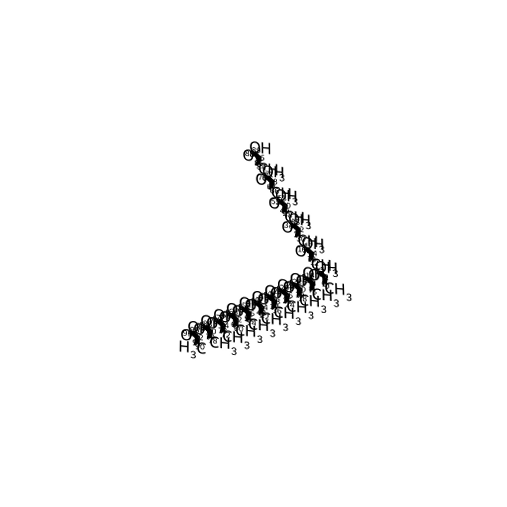 CCCC(=O)O.CCCC(=O)O.CCCC(=O)O.CCCC(=O)O.CCCC(=O)O.CCCC(=O)O.CCCC(=O)O.CCCC(=O)O.CCCC(=O)O.CCCC(=O)O.CCCC(=O)O.CCCC(=O)O.CCCC(=O)O.CCCC(=O)O.CCCC(=O)O.CCCC(=O)O